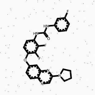 O=C(Nc1cccc(F)c1)Nc1ccc(Oc2ccc3ncc(N4CCCC4)nc3c2)c(F)c1F